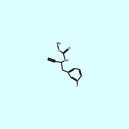 C#CC(Cc1cccc(F)c1)NC(=O)OC(C)(C)C